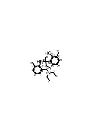 CCN(CC)Cc1cccc(C)c1PC(C)(CC)c1cccc(C)c1O